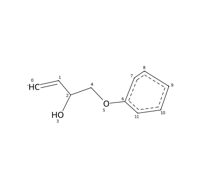 [CH]=CC(O)COc1ccccc1